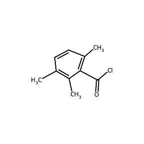 Cc1ccc(C)c(C(=O)Cl)c1C